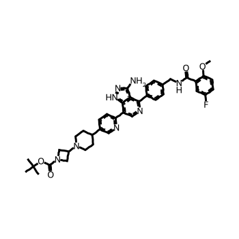 COc1ccc(F)cc1C(=O)NCc1ccc(-c2ncc(-c3ccc(C4CCN(C5CN(C(=O)OC(C)(C)C)C5)CC4)cn3)c3[nH]nc(N)c23)cc1